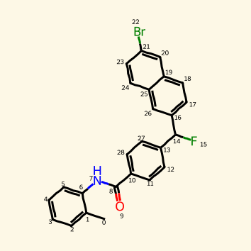 Cc1ccccc1NC(=O)c1ccc(C(F)c2ccc3cc(Br)ccc3c2)cc1